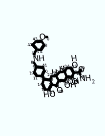 COc1ccc(CNCc2ccc(-c3ccc(O)c4c3C[C@H]3C[C@H]5CC(O)=C(C(N)=O)C(=O)[C@@]5(O)C(O)=C3C4=O)cc2)cc1